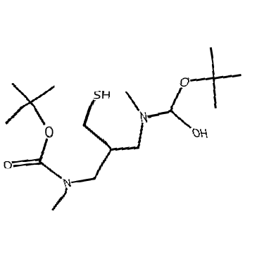 CN(CC(CS)CN(C)C(O)OC(C)(C)C)C(=O)OC(C)(C)C